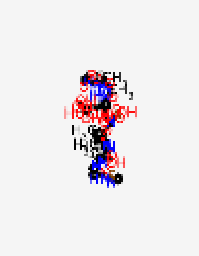 Cc1c(-c2ccc(N3CCc4cccc(C(=O)Nc5nc6ccccc6s5)c4C3)nc2C(=O)O)cnn1CC12CC3(OCCN(CCS(=O)(=O)O)C(=O)OCc4ccc(NC(=O)[C@H](C)NC(=O)C(NC(=O)CN5C(=O)C=CC5=O)C(C)C)cc4CC[C@@H]4O[C@H](C(=O)O)[C@@H](O)[C@H](O)[C@H]4O)CC4(C)CC(C)(C1)C2(C4)C3